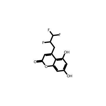 O=c1cc(CC(F)C(F)F)c2c(O)cc(O)cc2o1